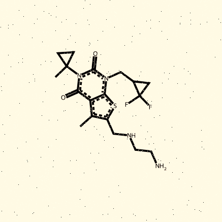 Cc1c(CNCCN)sc2c1c(=O)n(C1(C)CC1)c(=O)n2CC1CC1(F)F